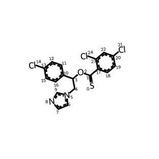 S=C(OC(Cn1ccnc1)c1ccc(Cl)cc1)c1ccc(Cl)cc1Cl